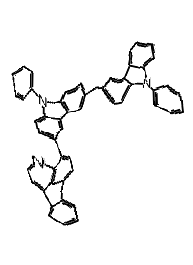 c1ccc(-n2c3ccccc3c3cc(-c4ccc5c(c4)c4cc(-c6ccc7c8c(ccnc68)-c6ccccc6-7)ccc4n5-c4ccccc4)ccc32)cc1